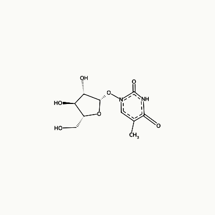 Cc1cn(O[C@@H]2O[C@H](CO)[C@@H](O)[C@@H]2O)c(=O)[nH]c1=O